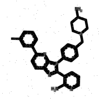 Cc1cccc(-c2ccc3nc(-c4cccnc4N)n(-c4ccc(CN5CCC(N)CC5)cc4)c3n2)c1